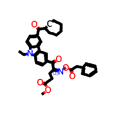 CCn1c2ccc(C(=O)/C(CCC(=O)OC)=N\OC(=O)Cc3ccccc3)cc2c2cc(C(=O)C3CCCCCC3)ccc21